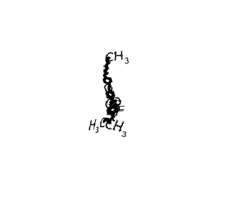 CCCCCCCCC1CCC(COc2ccc(C(=O)Oc3ccc(CC(C)CC)c(F)c3F)cc2)CC1